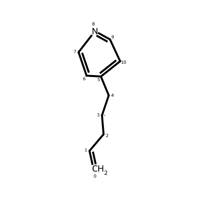 C=CC[CH]Cc1ccncc1